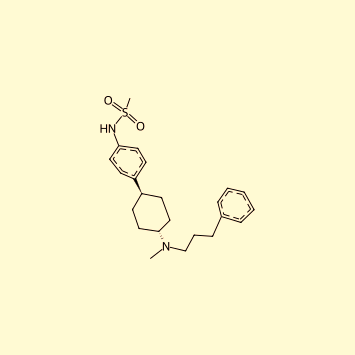 CN(CCCc1ccccc1)[C@H]1CC[C@H](c2ccc(NS(C)(=O)=O)cc2)CC1